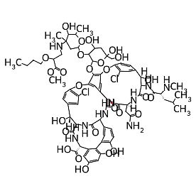 CCCCOC(CNC1(C)CC(OC2C(O)CC(O)(CO)OC2Oc2c3cc4cc2Oc2ccc(cc2Cl)[C@@H](O)[C@@H]2NC(=O)C(NC(=O)[C@@H]4NC(=O)[C@H](CC(N)=O)NC(=O)C(NC(=O)[C@@H](CC(C)C)NC)[C@H](O)c4ccc(c(Cl)c4)O3)c3ccc(O)c(c3)-c3c(O)cc(O)cc3[C@H](C(=O)O)NC2=O)OC(C)C1O)C(=O)OC